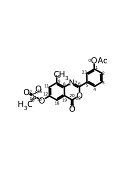 CC(=O)Oc1cccc(-c2nc3c(C)cc(OS(C)(=O)=O)cc3c(=O)o2)c1